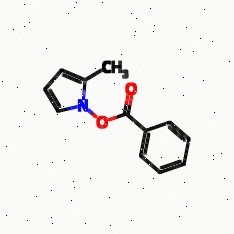 Cc1cccn1OC(=O)c1ccccc1